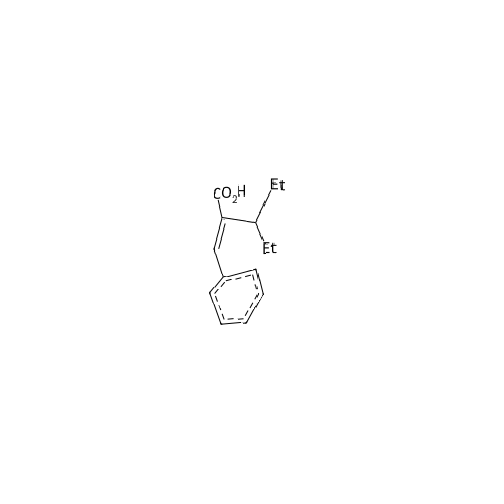 CCC(CC)C(=Cc1ccccc1)C(=O)O